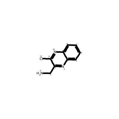 NCc1nc2ccccc2nc1Cl